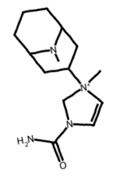 CN1C2CCCC1CC([N+]1(C)C=CN(C(N)=O)C1)C2